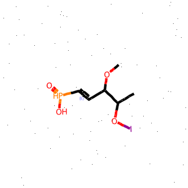 COC(/C=C/[PH](=O)O)C(C)OI